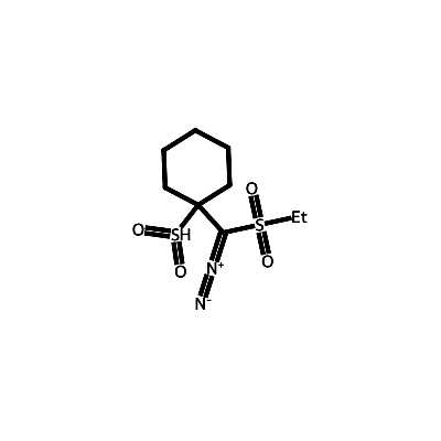 CCS(=O)(=O)C(=[N+]=[N-])C1([SH](=O)=O)CCCCC1